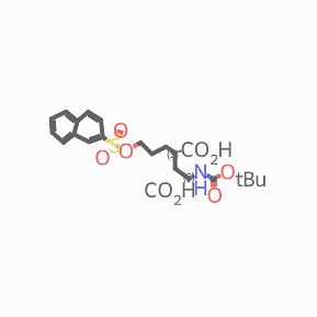 CC(C)(C)OC(=O)N[C@@H](C[C@H](CCCOS(=O)(=O)c1ccc2ccccc2c1)C(=O)O)C(=O)O